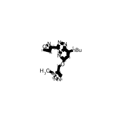 CCCCc1cc(OCc2cnnn2C)nn2c(-c3ccon3)nnc12